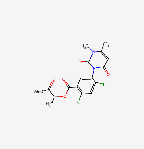 COC(=O)C(C)OC(=O)c1cc(-n2c(=O)cc(C(F)(F)F)n(C)c2=O)c(F)cc1Cl